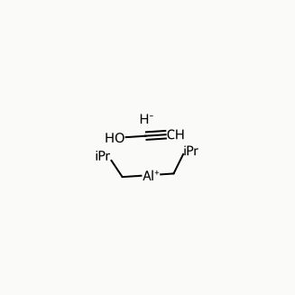 C#CO.CC(C)[CH2][Al+][CH2]C(C)C.[H-]